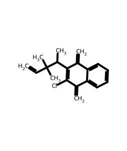 C=CC(C)(C)C(C)c1c(Cl)c(=C)c2ccccc2c1=C